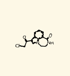 O=C(CCl)c1cn2c3c(cccc13)C(=O)NCC2